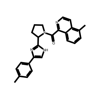 Cc1ccc(-c2c[nH]c(C3CCCN3C(=O)c3nccc4c(C)cccc34)n2)cc1